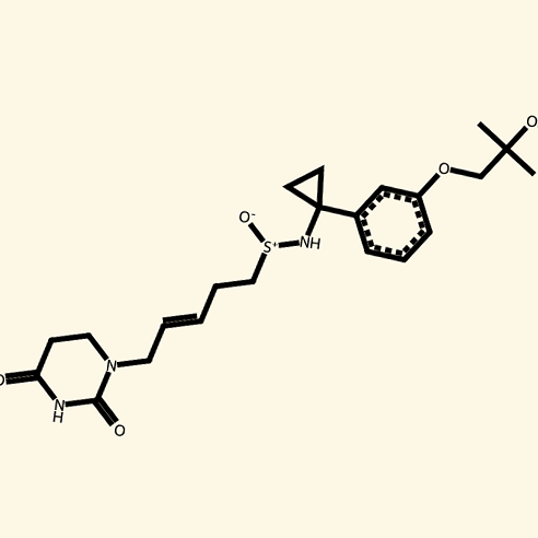 CC(C)(O)COc1cccc(C2(N[S+]([O-])CC/C=C/CN3CCC(=O)NC3=O)CC2)c1